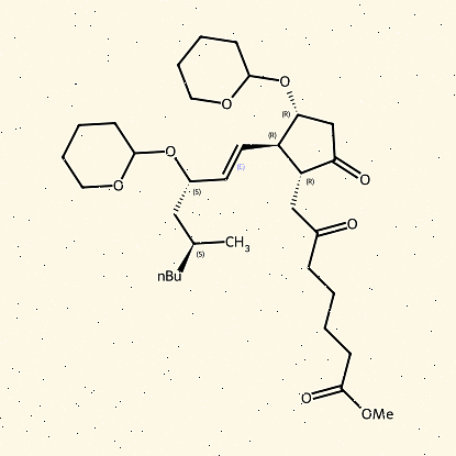 CCCC[C@H](C)C[C@@H](/C=C/[C@H]1[C@H](OC2CCCCO2)CC(=O)[C@@H]1CC(=O)CCCCC(=O)OC)OC1CCCCO1